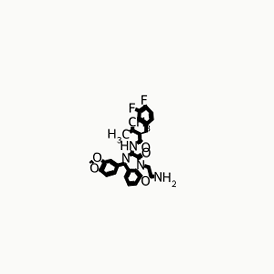 CC(C)[C@@H](Cc1ccc(F)c(F)c1)C(=O)NC1N=C(c2ccc3c(c2)OCO3)c2ccccc2N(CC(N)=O)C1=O